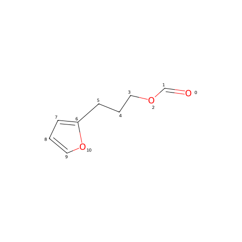 O=COCCCc1ccco1